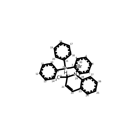 CC1([PH](c2ccccc2)(c2ccccc2)c2ccccc2)C=Cc2ccccc2N1Br